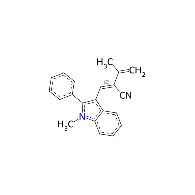 C=C(C)/C(C#N)=C/c1c(-c2ccccc2)n(C)c2ccccc12